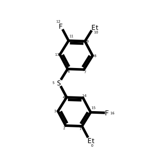 CCc1ccc(Sc2ccc(CC)c(F)c2)cc1F